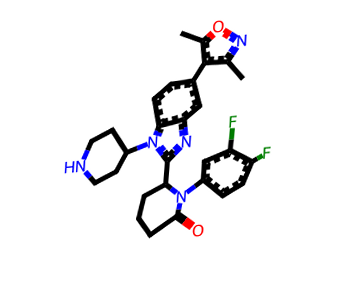 Cc1noc(C)c1-c1ccc2c(c1)nc(C1CCCC(=O)N1c1ccc(F)c(F)c1)n2C1CCNCC1